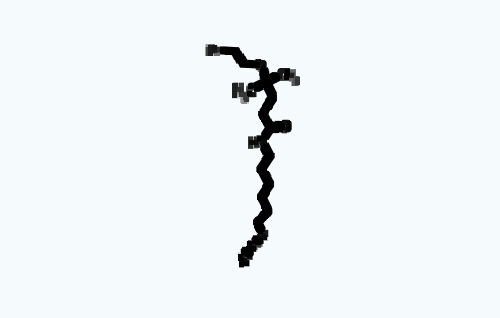 CC(C)CCOC(C)(C)CCC(=O)NCCCCCCN=[N+]=[N-]